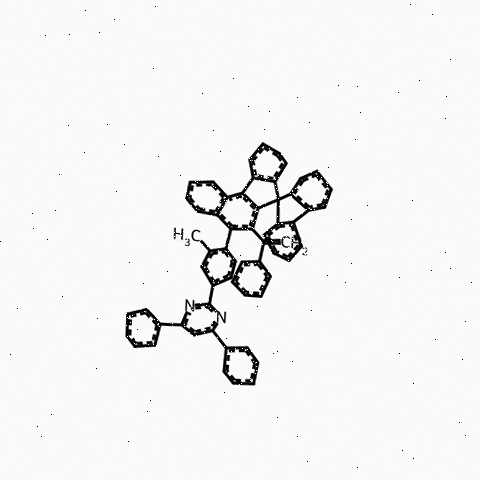 C=C(c1ccccc1)c1c2c(c3ccccc3c1-c1ccc(-c3nc(-c4ccccc4)cc(-c4ccccc4)n3)cc1C)-c1ccccc1C21c2ccccc2-c2ccccc21